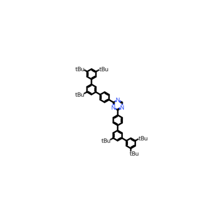 CC(C)(C)c1cc(-c2ccc(-c3ncnc(-c4ccc(-c5cc(-c6cc(C(C)(C)C)cc(C(C)(C)C)c6)cc(C(C)(C)C)c5)cc4)n3)cc2)cc(-c2cc(C(C)(C)C)cc(C(C)(C)C)c2)c1